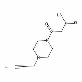 CC#CCN1CCN(C(=O)CC(=O)S)CC1